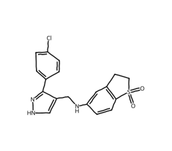 O=S1(=O)CCc2cc(NCc3c[nH]nc3-c3ccc(Cl)cc3)ccc21